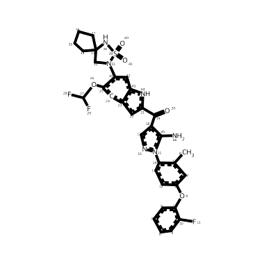 Cc1cc(Oc2ccccc2F)ccc1-n1ncc(C(=O)c2cc3cc(OC(F)F)c(N4CC5(CCCC5)NS4(=O)=O)cc3[nH]2)c1N